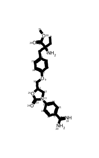 CCC(N)(Cc1ccc(OCC2CN(c3ccc(C(=N)N)cc3)C(=O)O2)cc1)C(=O)OC